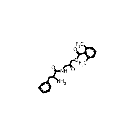 NC(Cc1ccccc1)C(=O)NCC(=O)COC(=O)c1c(C(F)(F)F)cccc1C(F)(F)F